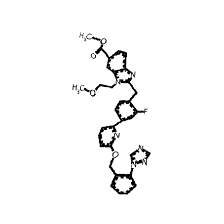 COCCn1c(Cc2ccc(-c3cccc(OCc4ccccc4-n4cncn4)n3)cc2F)nc2ccc(C(=O)OC)cc21